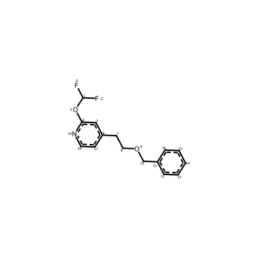 FC(F)Oc1cc(CCOCc2ccccc2)ccn1